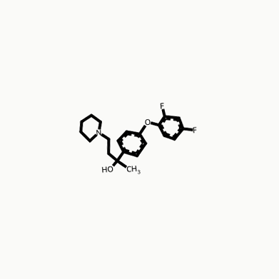 CC(O)(CCN1CCCCC1)c1ccc(Oc2ccc(F)cc2F)cc1